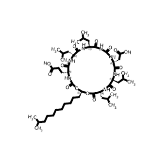 CC(C)CCCCCCCCC[C@H]1CC(=O)N[C@H](CCC(=O)O)C(=O)N[C@H](CC(C)C)C(=O)N[C@@H](CC(C)C)C(=O)NC(=O)N[C@H](CC(=O)O)C(=O)N[C@@H](CC(C)C)C(=O)N[C@H](CC(C)C)C(=O)O1